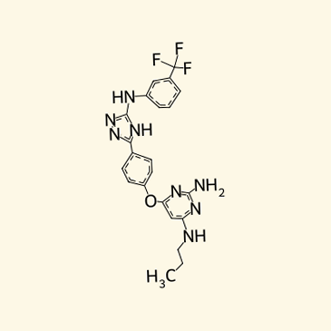 CCCNc1cc(Oc2ccc(-c3nnc(Nc4cccc(C(F)(F)F)c4)[nH]3)cc2)nc(N)n1